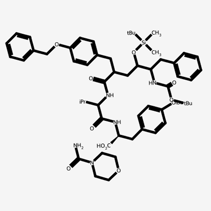 CC(C)COc1ccc(C[C@H](NC(=O)C(NC(=O)C(Cc2ccc(OCc3ccccc3)cc2)CC(O[Si](C)(C)C(C)(C)C)C(Cc2ccccc2)NC(=O)OC(C)(C)C)C(C)C)C(=O)O)cc1.NC(=O)N1CCOCC1